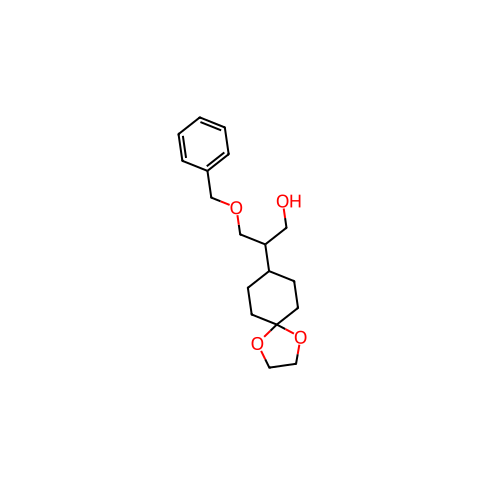 OCC(COCc1ccccc1)C1CCC2(CC1)OCCO2